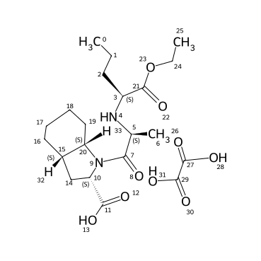 CCC[C@H](N[C@@H](C)C(=O)N1[C@H](C(=O)O)C[C@@H]2CCCC[C@@H]21)C(=O)OCC.O=C(O)C(=O)O